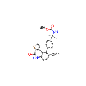 COc1ccc2[nH]c(=O)c3sccc3c2c1-c1ccc(C(C)(C)NC(=O)OC(C)(C)C)cc1